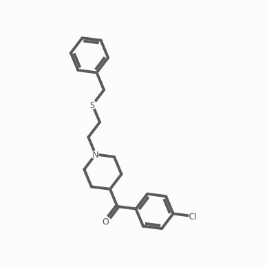 O=C(c1ccc(Cl)cc1)C1CCN(CCSCc2ccccc2)CC1